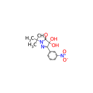 CC(C)(C)N1N=C(c2cccc([N+](=O)[O-])c2)C(O)(O)C1=O